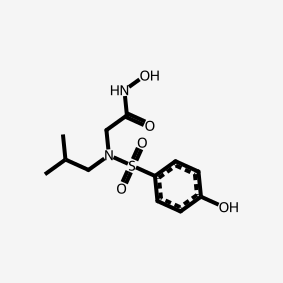 CC(C)CN(CC(=O)NO)S(=O)(=O)c1ccc(O)cc1